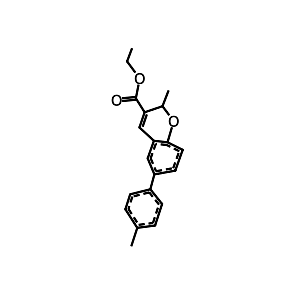 CCOC(=O)C1=Cc2cc(-c3ccc(C)cc3)ccc2OC1C